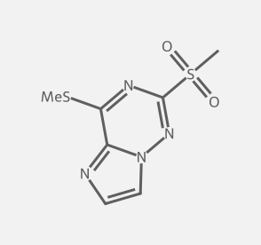 CSc1nc(S(C)(=O)=O)nn2ccnc12